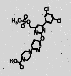 CS(=O)(=O)OCc1cc(-c2cc(Cl)cc(Cl)c2)nc(Oc2ccc(N3CCN(C(=O)O)CC3)nc2)n1